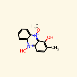 CO[n+]1c2ccccc2[n+](O)c2ccc(C)c(O)c21